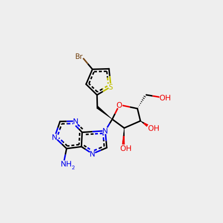 Nc1ncnc2c1ncn2[C@]1(Cc2cc(Br)cs2)O[C@H](CO)[C@@H](O)[C@H]1O